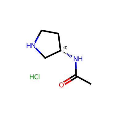 CC(=O)N[C@H]1CCNC1.Cl